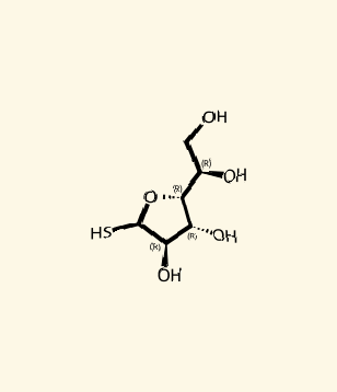 OC[C@@H](O)[C@H]1OC(S)[C@H](O)[C@H]1O